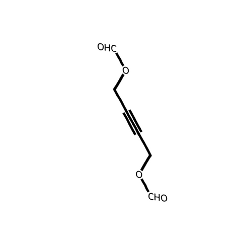 O=COCC#CCOC=O